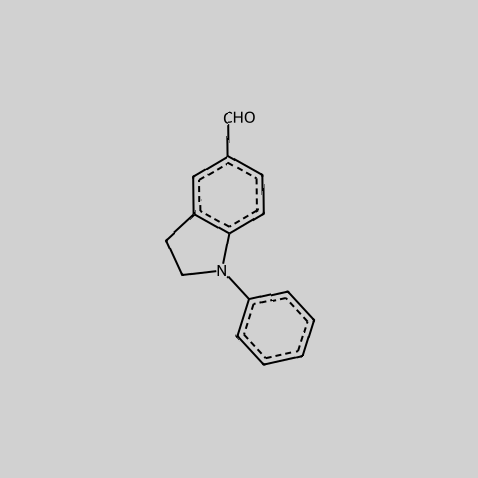 O=Cc1ccc2c(c1)CCN2c1ccccc1